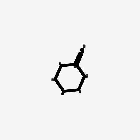 S=C1CCCCC1